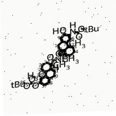 CC(C)(C)OC(=O)Nc1cc2c(cc1O)CC[C@H]1[C@@](C)(C(=O)NC(=O)[C@@]3(C)CCC[C@]4(C)c5cc(OC(=O)OC(C)(C)C)ccc5CC[C@@H]34)CCC[C@]21C